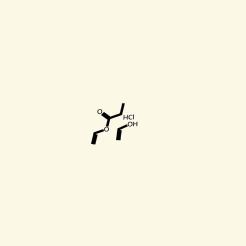 C=CO.C=COC(=O)CC.Cl